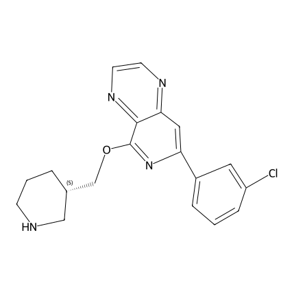 Clc1cccc(-c2cc3nccnc3c(OC[C@H]3CCCNC3)n2)c1